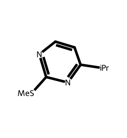 CSc1nccc(C(C)C)n1